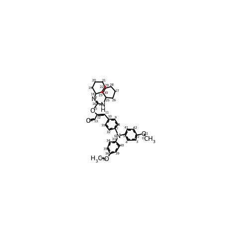 COc1ccc(N(c2ccc(/C=C(\C=O)O/C(=N/C3CCCCC3)NC3CCCCC3)cc2)c2ccc(OC)cc2)cc1